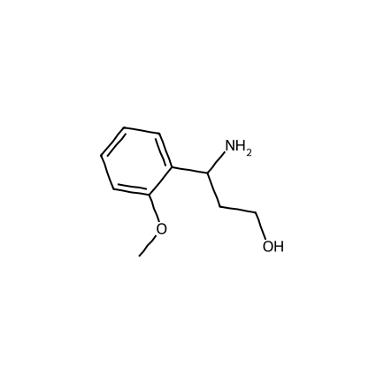 COc1ccccc1C(N)CCO